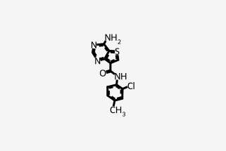 Cc1ccc(NC(=O)c2csc3c(N)ncnc23)c(Cl)c1